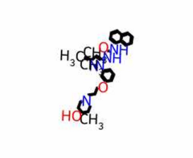 CC1(O)CCN(CCCOc2cccc(-n3nc(C(C)(C)C)cc3NC(=O)Nc3cccc4ccccc34)c2)CC1